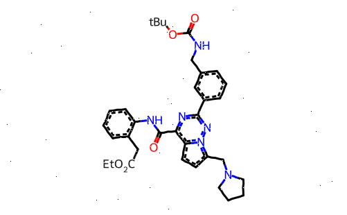 CCOC(=O)Cc1ccccc1NC(=O)c1nc(-c2cccc(CNC(=O)OC(C)(C)C)c2)nn2c(CN3CCCC3)ccc12